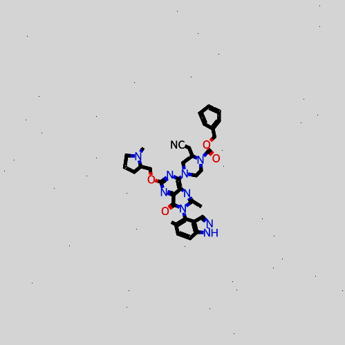 Cc1ccc2[nH]ncc2c1-n1c(C)nc2c(N3CCN(C(=O)OCc4ccccc4)C(CC#N)C3)nc(OCC3CCCN3C)nc2c1=O